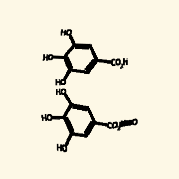 C=O.O=C(O)c1cc(O)c(O)c(O)c1.O=C(O)c1cc(O)c(O)c(O)c1